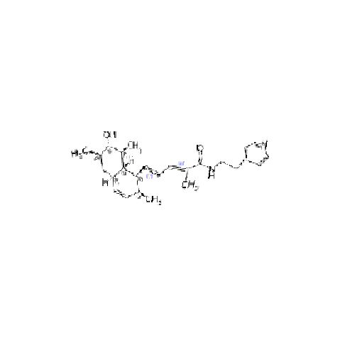 C/C(=C\C=C\[C@@H]1[C@H]2[C@H](C)[C@@H](O)[C@H](C)C[C@@H]2C=C[C@@H]1C)C(=O)NCCc1ccncc1